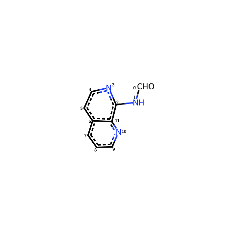 O=CNc1nccc2cccnc12